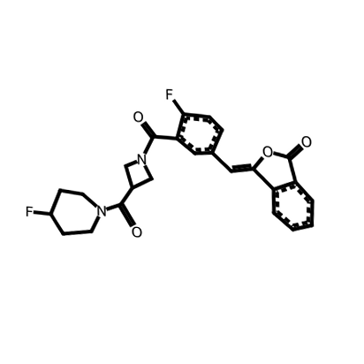 O=C1OC(=Cc2ccc(F)c(C(=O)N3CC(C(=O)N4CCC(F)CC4)C3)c2)c2ccccc21